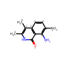 Cc1[nH]c(=O)c2c(N)c([N+](=O)[O-])ccc2c1C